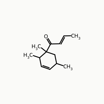 CC=CC(=O)C1(C)CC(C)C=CC1C